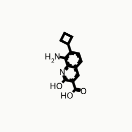 Nc1c(C2CCC2)ccc2cc(C(=O)O)c(O)nc12